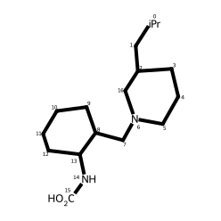 CC(C)CC1CCCN(CC2CCCCC2NC(=O)O)C1